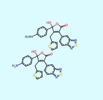 CC(=O)Nc1ccc(C2(O)OC(=O)C(c3ccc4nsnc4c3)=C2Cc2cccs2)cc1.Nc1ccc(C2(O)OC(=O)C(c3ccc4nsnc4c3)=C2Cc2cccs2)cc1